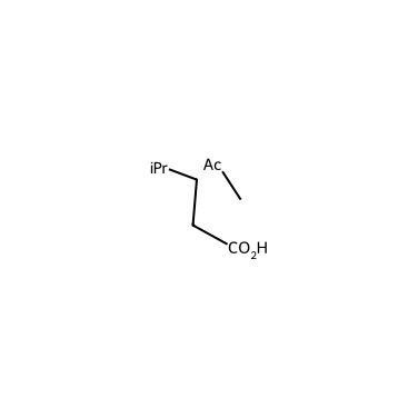 CC(C)=O.CC(C)CCC(=O)O